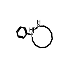 c1ccc(P2CCCCCCCCCPP2)cc1